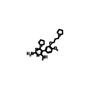 CNc1nc(N)nc(N2CCCC2)c1-c1ccc(OC)c(OCCCN2CCCC2)c1